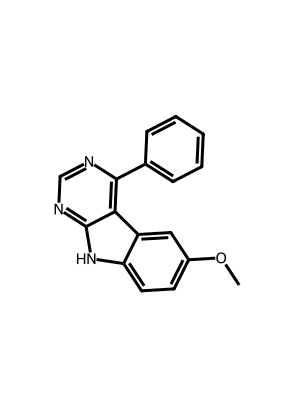 COc1ccc2[nH]c3ncnc(-c4ccccc4)c3c2c1